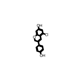 Oc1ccc(C2=Cc3c(Cl)cc(O)cc3OC2)cc1